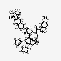 Cc1ccc2onc(C(=O)N3CC[C@H]4CC[C@@H](C(=O)N5CCOC[C@@H]5c5ccccc5)N4C(=O)[C@@H](NC(=O)c4ccc5ccc(C(F)P(=O)(O)O)cc5c4)C3)c2c1